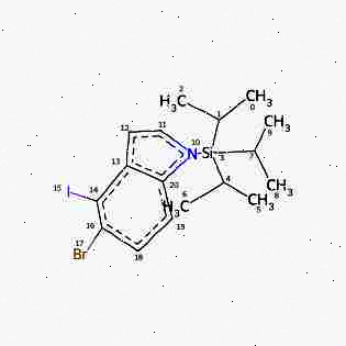 CC(C)[Si](C(C)C)(C(C)C)n1ccc2c(I)c(Br)ccc21